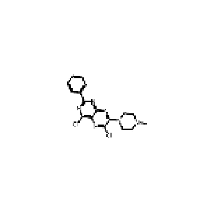 CN1CCN(c2nc3nc(-c4ccccc4)nc(Cl)c3nc2Cl)CC1